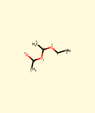 CCCCCOC(C)OC(C)[O]